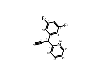 C#CC(c1cc(F)cc(F)c1)c1ccccn1